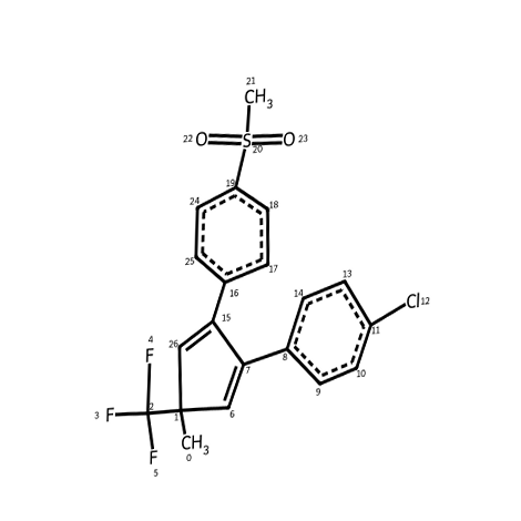 CC1(C(F)(F)F)C=C(c2ccc(Cl)cc2)C(c2ccc(S(C)(=O)=O)cc2)=C1